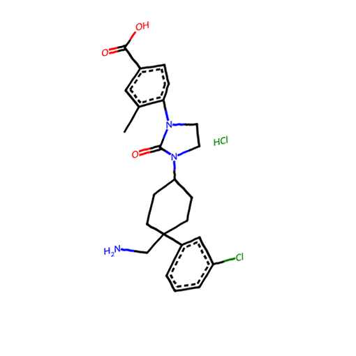 Cc1cc(C(=O)O)ccc1N1CCN(C2CCC(CN)(c3cccc(Cl)c3)CC2)C1=O.Cl